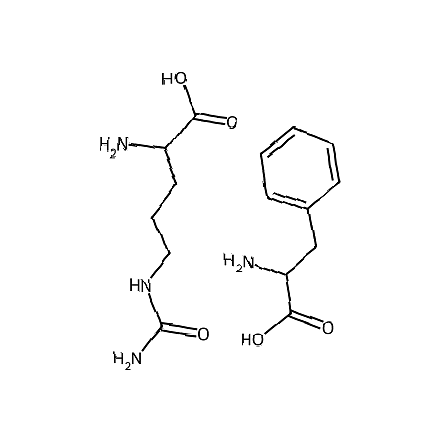 NC(=O)NCCCC(N)C(=O)O.NC(Cc1ccccc1)C(=O)O